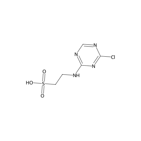 O=S(=O)(O)CCNc1ncnc(Cl)n1